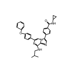 CC(C)CNc1nc(-c2ccc(Oc3ccccc3)cc2)cn2c(-c3ccc(C(=O)NC4CC4)cc3)cnc12